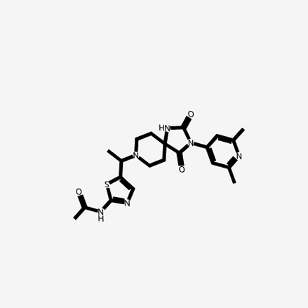 CC(=O)Nc1ncc(C(C)N2CCC3(CC2)NC(=O)N(c2cc(C)nc(C)c2)C3=O)s1